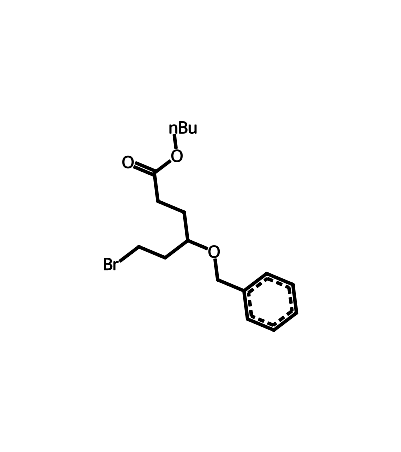 CCCCOC(=O)CCC(CCBr)OCc1ccccc1